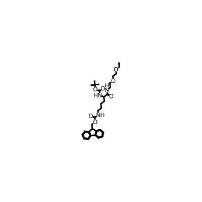 CCOCCOCCNC(=O)C(CCCCNC(=O)OCC1c2ccccc2-c2ccccc21)NC(=O)OC(C)(C)C